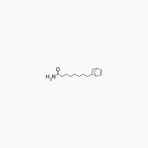 NC(=O)CCCCCCCC1CC2C=CC1C2